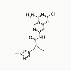 CC1C(C(=O)Nc2cc3cc(Cl)nc(N)c3cn2)C1c1cnn(C)c1